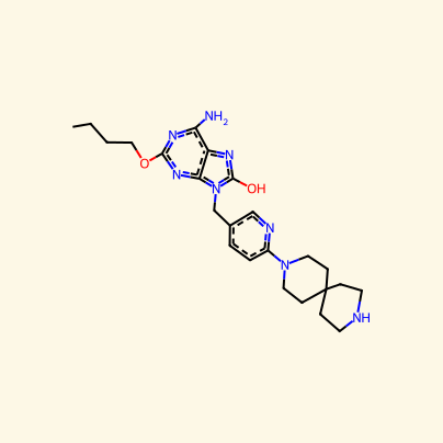 CCCCOc1nc(N)c2nc(O)n(Cc3ccc(N4CCC5(CCNCC5)CC4)nc3)c2n1